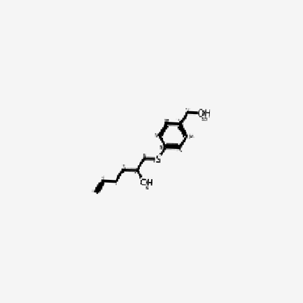 C=CCCC(O)CSc1ccc(CO)cc1